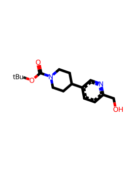 CC(C)(C)OC(=O)N1CCC(c2ccc(CO)nc2)CC1